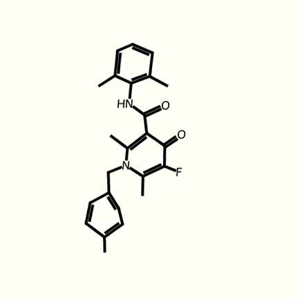 Cc1ccc(Cn2c(C)c(F)c(=O)c(C(=O)Nc3c(C)cccc3C)c2C)cc1